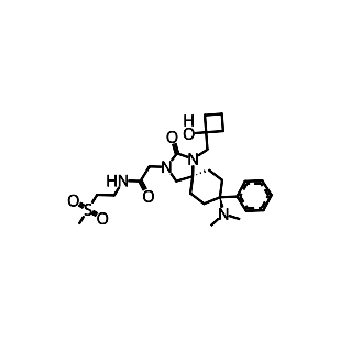 CN(C)[C@]1(c2ccccc2)CC[C@]2(CC1)CN(CC(=O)NCCS(C)(=O)=O)C(=O)N2CC1(O)CCC1